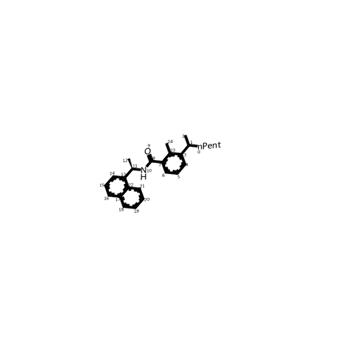 CCCCCC(C)c1cccc(C(=O)N[C@H](C)c2cccc3ccccc23)c1C